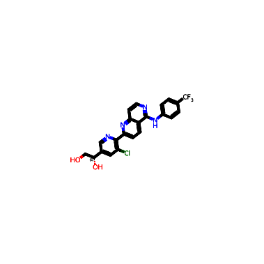 OC[C@@H](O)c1cnc(-c2ccc3c(Nc4ccc(C(F)(F)F)cc4)nccc3n2)c(Cl)c1